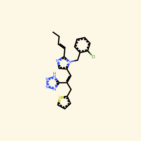 CCC=Cc1ncc(C=C(Cc2cccs2)c2nnn[nH]2)n1Cc1ccccc1Cl